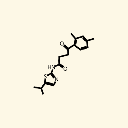 Cc1ccc(C(=O)CCC(=O)Nc2ncc(C(C)C)s2)c(C)c1